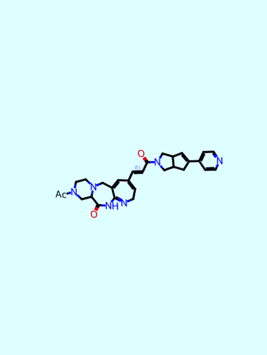 CC(=O)N1CCN2CC3=CC(/C=C/C(=O)N4CC5C=C(c6ccncc6)CC5C4)=CCN=C3NC(=O)C2C1